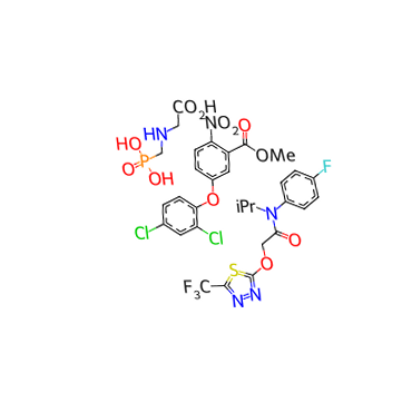 CC(C)N(C(=O)COc1nnc(C(F)(F)F)s1)c1ccc(F)cc1.COC(=O)c1cc(Oc2ccc(Cl)cc2Cl)ccc1[N+](=O)[O-].O=C(O)CNCP(=O)(O)O